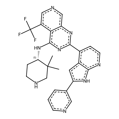 CC1(C)CNCC[C@@H]1Nc1nc(-c2ccnc3[nH]c(-c4cccnc4)cc23)nc2cncc(C(F)(F)F)c12